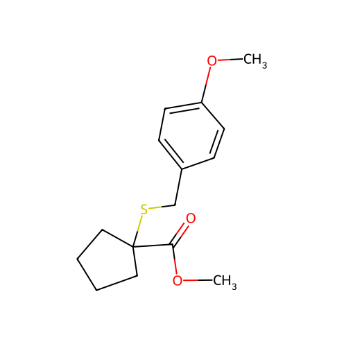 COC(=O)C1(SCc2ccc(OC)cc2)CCCC1